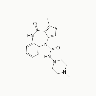 Cc1scc2c1C(=O)Nc1ccccc1N2C(=O)NN1CCN(C)CC1